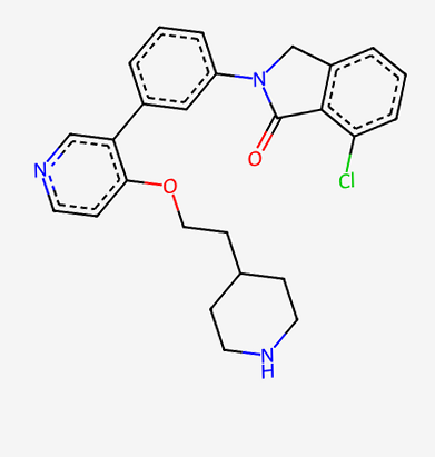 O=C1c2c(Cl)cccc2CN1c1cccc(-c2cnccc2OCCC2CCNCC2)c1